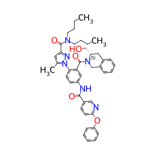 CCCCN(CCCC)C(=O)c1cc(C)n(-c2ccc(NC(=O)c3ccc(Oc4ccccc4)nc3)cc2C(=O)N2Cc3ccccc3C[C@H]2CO)n1